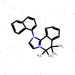 CC1(C)c2ccccc2-c2n(-c3cccc4ccccc34)cc[n+]2C1(C)C